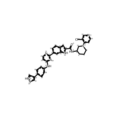 O=C(NC1CCCN(c2ccncc2Cl)C1)c1cc2ccc(-c3nccc(Nc4ccc(-c5cn[nH]c5)cc4)n3)cc2[nH]1